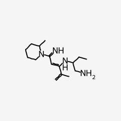 C=C(C)/C(=C/C(=N)N1CCCCC1C)NC(CC)CN